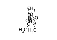 CCCCOCN1C(=O)N(COCCCC)C2C1N(CO)C(=O)N2COCCCC